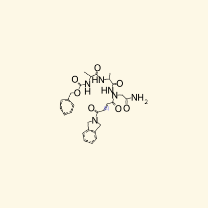 CC(NC(=O)OCc1ccccc1)C(=O)NC(C)C(=O)NN(CC(N)=O)C(=O)/C=C/C(=O)N1Cc2ccccc2C1